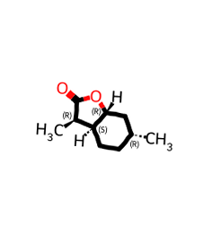 C[C@@H]1CC[C@@H]2[C@@H](C1)OC(=O)[C@@H]2C